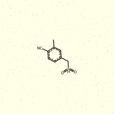 Cc1cc(C[SH](=O)=O)ccc1C#N